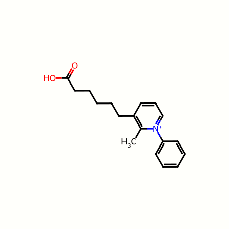 Cc1c(CCCCCC(=O)O)ccc[n+]1-c1ccccc1